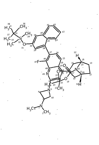 CN(C)C1CN(c2nc(N3C[C@H]4CC[C@@H](C3)N4C(=O)OC(C)(C)C)c3ccc(-c4cc(O[Si](C)(C)C(C)(C)C)cc5ccccc45)c(F)c3n2)C1